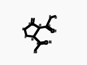 CCC(=O)C1NCCC1C(C)=O